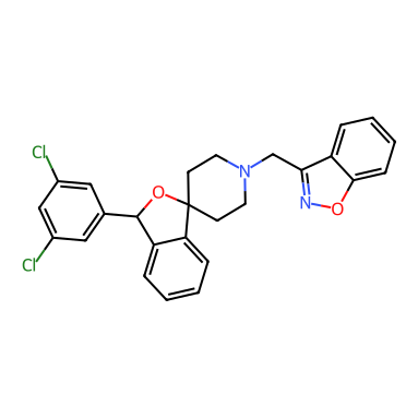 Clc1cc(Cl)cc(C2OC3(CCN(Cc4noc5ccccc45)CC3)c3ccccc32)c1